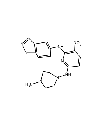 CN1CCN(Nc2ccc([N+](=O)[O-])c(Nc3ccc4[nH]ncc4c3)n2)CC1